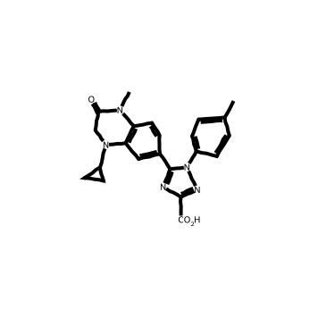 Cc1ccc(-n2nc(C(=O)O)nc2-c2ccc3c(c2)N(C2CC2)CC(=O)N3C)cc1